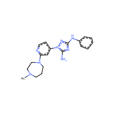 CC(=O)N1CCCN(c2cc(-n3nc(Nc4ccccc4)nc3N)ccn2)CC1